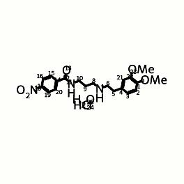 COc1ccc(CCNCCCNC(=O)c2ccc([N+](=O)[O-])cc2)cc1OC.Cl.O